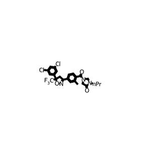 CCCN1CN(C(=O)c2ccc(C3=NOC(c4cc(Cl)cc(Cl)c4)(C(F)(F)F)C3)cc2C)CC1=O